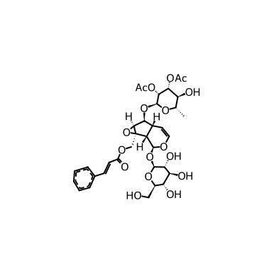 CC(=O)O[C@@H]1[C@@H](O)[C@H](C)O[C@@H](O[C@H]2[C@@H]3C=CO[C@@H](O[C@@H]4O[C@H](CO)[C@@H](O)[C@H](O)[C@H]4O)[C@@H]3[C@@]3(COC(=O)/C=C/c4ccccc4)O[C@@H]23)[C@@H]1OC(C)=O